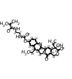 C=C(C)C(=O)NCCNC(=O)Oc1ccc2nc3c(c(CC)c2c1)Cn1c-3cc2c(c1=O)COC(=O)[C@]2(O)CC